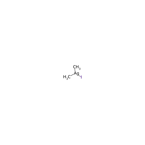 [CH3][Ag]([CH3])[I]